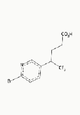 O=C(O)CCC(c1ccc(Br)nc1)C(F)(F)F